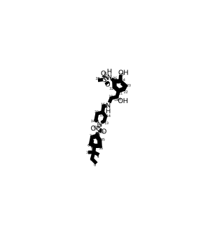 CCC(C)(C)c1ccc(S(=O)(=O)N2CCC(CNC[C@H](O)c3ccc(O)c(NS(C)(=O)=O)c3)CC2)cc1